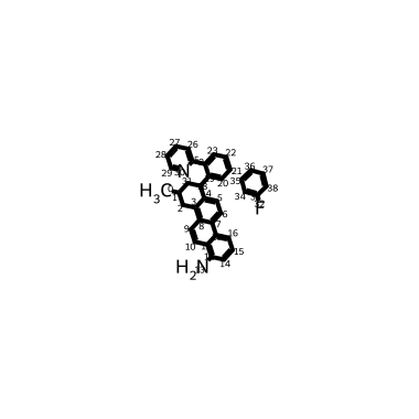 CC1Cc2c(ccc3c2ccc2c(N)cccc23)C(c2ccccc2-c2ccccn2)C1.Fc1ccccc1